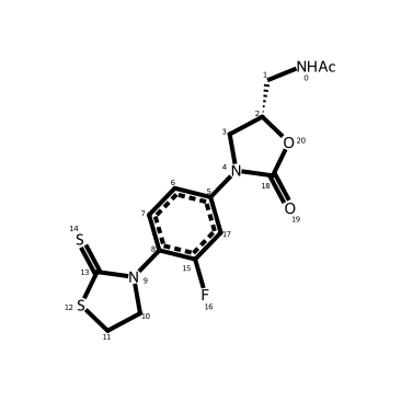 CC(=O)NC[C@H]1CN(c2ccc(N3CCSC3=S)c(F)c2)C(=O)O1